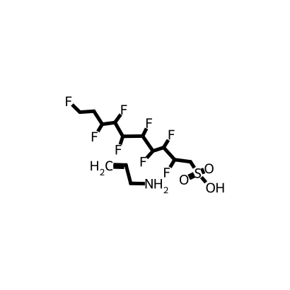 C=CCN.O=S(=O)(O)CC(F)C(F)C(F)C(F)C(F)C(F)C(F)CCF